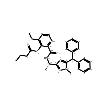 CCCC(=O)Oc1c(OC)ccnc1C(=O)N[C@@H](C)c1nc(C(c2ccccc2)c2ccccc2)n(C)n1